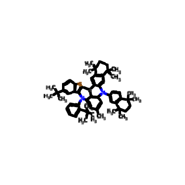 Cc1cc2c3c(c1)N(c1ccccc1C(C)(C)C)c1c(sc4ccc(C(C)(C)C)cc14)B3c1cc3c(cc1N2c1ccc2c(c1)C(C)(C)CCC2(C)C)C(C)(C)CCC3(C)C